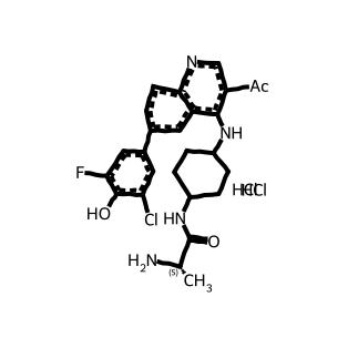 CC(=O)c1cnc2ccc(-c3cc(F)c(O)c(Cl)c3)cc2c1NC1CCC(NC(=O)[C@H](C)N)CC1.Cl.Cl